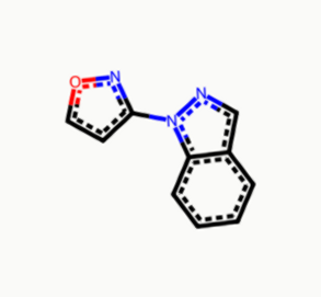 c1ccc2c(c1)cnn2-c1ccon1